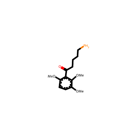 COc1ccc(OC)c(C(=O)CCCCP)c1OC